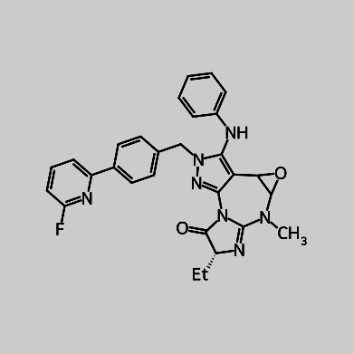 CC[C@H]1N=C2N(C1=O)c1nn(Cc3ccc(-c4cccc(F)n4)cc3)c(Nc3ccccc3)c1C1OC1N2C